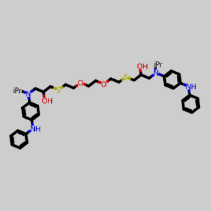 CC(C)N(CC(O)CSCCOCCOCCSCC(O)CN(c1ccc(Nc2ccccc2)cc1)C(C)C)c1ccc(Nc2ccccc2)cc1